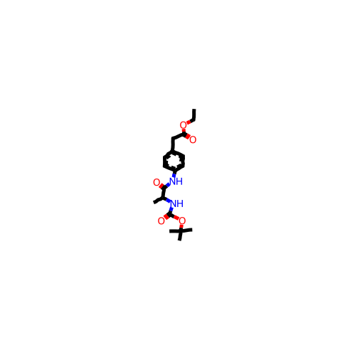 CCOC(=O)Cc1ccc(NC(=O)C(C)NC(=O)OC(C)(C)C)cc1